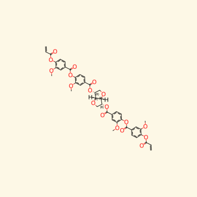 C=CC(=O)Oc1ccc(C(=O)Oc2ccc(C(=O)O[C@@H]3CO[C@H]4[C@@H]3OC[C@H]4OC(=O)c3ccc(OC(=O)c4ccc(OC(=O)C=C)c(OC)c4)c(OC)c3)cc2OC)cc1OC